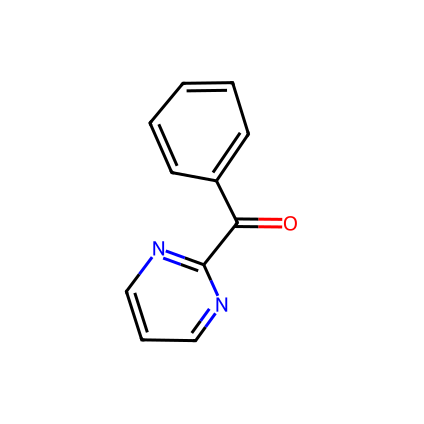 O=C(c1ccccc1)c1ncccn1